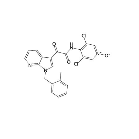 Cc1ccccc1Cn1cc(C(=O)C(=O)Nc2c(Cl)c[n+]([O-])cc2Cl)c2cccnc21